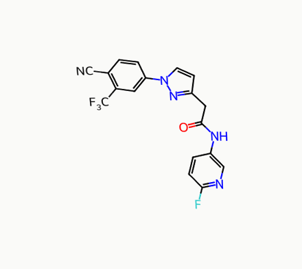 N#Cc1ccc(-n2ccc(CC(=O)Nc3ccc(F)nc3)n2)cc1C(F)(F)F